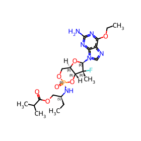 CCOc1nc(N)nc2c1ncn2[C@@H]1O[C@@H]2CO[P@](=O)(N[C@@H](CC)COC(=O)C(C)C)O[C@H]2[C@@]1(C)F